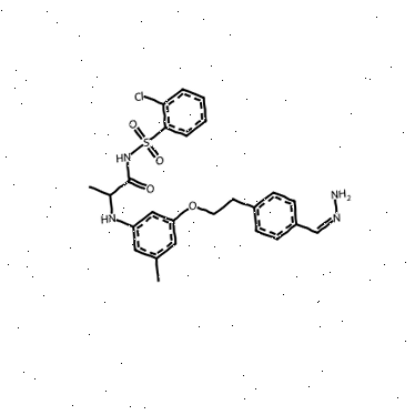 Cc1cc(NC(C)C(=O)NS(=O)(=O)c2ccccc2Cl)cc(OCCc2ccc(/C=N\N)cc2)c1